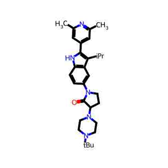 Cc1cc(-c2[nH]c3ccc(N4CCC(N5CCN(C(C)(C)C)CC5)C4=O)cc3c2C(C)C)cc(C)n1